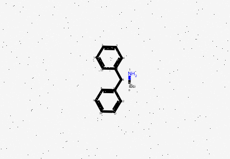 CCC(C)N.c1ccc(Cc2ccccc2)cc1